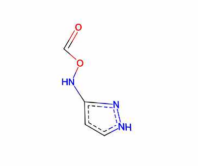 O=CONc1cc[nH]n1